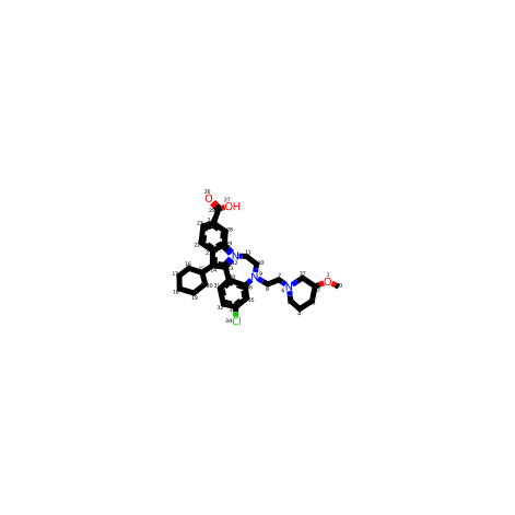 COC1CCCN(CCN2CCn3c(c(C4CCCCC4)c4ccc(C(=O)O)cc43)-c3ccc(Cl)cc32)C1